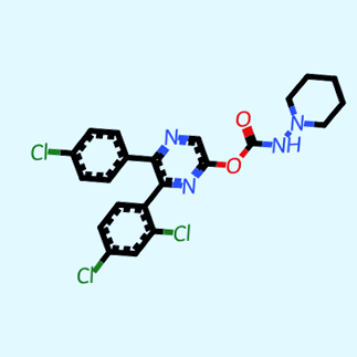 O=C(NN1CCCCC1)Oc1cnc(-c2ccc(Cl)cc2)c(-c2ccc(Cl)cc2Cl)n1